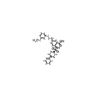 CCc1cccc(CCSc2ccc(NS(=O)(=O)N3CCN(c4ccccc4)CC3)c(C(=O)O)c2)c1